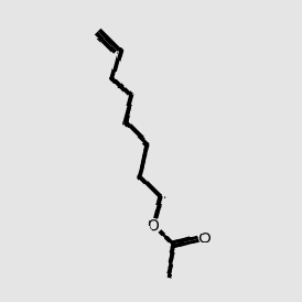 C=CCCCCC[CH]OC(C)=O